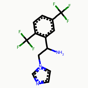 NC(Cn1ccnc1)c1cc(C(F)(F)F)ccc1C(F)(F)F